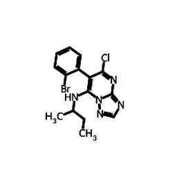 CCC(C)Nc1c(-c2ccccc2Br)c(Cl)nc2ncnn12